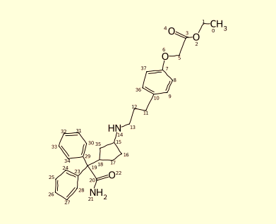 CCOC(=O)COc1ccc(CCCNC2CCC(C(C(N)=O)(c3ccccc3)c3ccccc3)C2)cc1